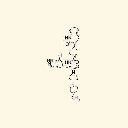 CN1CCN(C2CCN(C(=O)C(Cc3cc(Cl)c4[nH]ncc4c3)NC(=O)N3CCC(N4CCc5ccccc5NC4=O)CC3)CC2)CC1